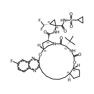 CC(C)(C)[C@@H]1NC(=O)O[C@@H]2CCC[C@H]2CCCCCc2nc3ccc(F)cc3nc2O[C@@H]2C[C@@H](C(=O)N[C@]3(C(=O)NS(=O)(=O)C4CC4)C[C@H]3C(F)F)N(C2)C1=O